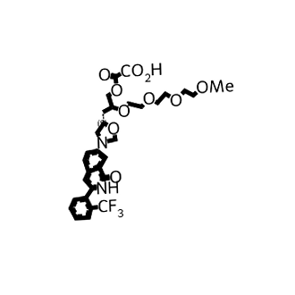 COCCOCCOCCOC(COC(=O)C(=O)O)C[C@H]1CN(c2ccc3cc(-c4ccccc4C(F)(F)F)[nH]c(=O)c3c2)CO1